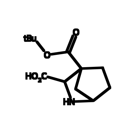 CC(C)(C)OC(=O)C12CCC(C1)NC2C(=O)O